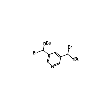 CCCCC(Br)c1cncc(C(Br)CCCC)c1